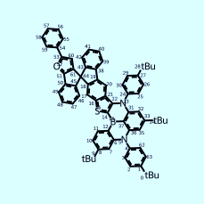 CC(C)(C)c1ccc(N2c3cc(C(C)(C)C)ccc3B3c4sc5cc6c(cc5c4N(c4ccc(C(C)(C)C)cc4)c4cc(C(C)(C)C)cc2c43)-c2ccccc2C62c3ccccc3-c3oc(-c4ccccc4)cc32)cc1